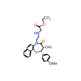 COc1ccc([C@@H]2Sc3c(ccc4ccccc34)N(CCNCC(=O)OCC(Cl)(Cl)Cl)C(=O)[C@@H]2OC(C)=O)cc1